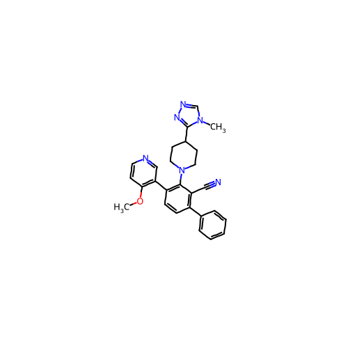 COc1ccncc1-c1ccc(-c2ccccc2)c(C#N)c1N1CCC(c2nncn2C)CC1